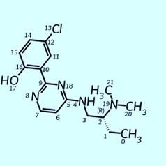 CC[C@H](CNc1ccnc(-c2cc(Cl)ccc2O)n1)N(C)C